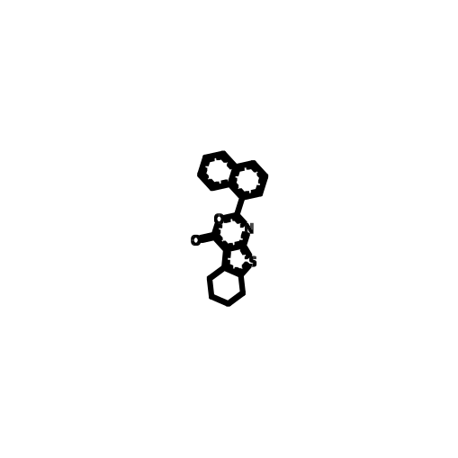 O=c1oc(-c2cccc3ccccc23)nc2sc3c(c12)CCCC3